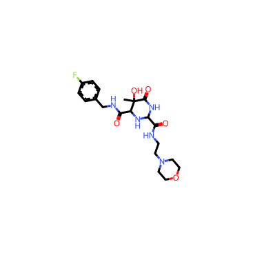 CC1(O)C(=O)NC(C(=O)NCCN2CCOCC2)NC1C(=O)NCc1ccc(F)cc1